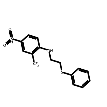 O=[SH](=O)c1ccc(NCCSc2ccccc2)c(C(F)(F)F)c1